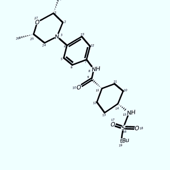 C[C@@H]1CN(c2ccc(NC(=O)[C@H]3CC[C@@H](NS(=O)(=O)C(C)(C)C)CC3)cc2)C[C@H](C)O1